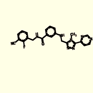 Cn1c(CNc2cccc(C(=O)NCc3cccc(C#N)c3F)c2)nnc1-c1ccncn1